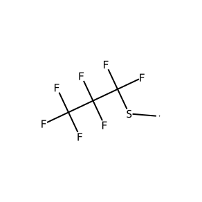 [CH2]SC(F)(F)C(F)(F)C(F)(F)F